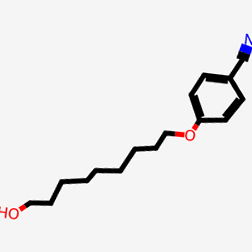 N#Cc1ccc(OCCCCCCCCCO)cc1